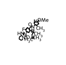 COc1cc(C)c(NC(=O)c2cc(F)c(N3NC4CCCCN4C3=O)cc2O[C@@H](C)CN(C)C)cn1